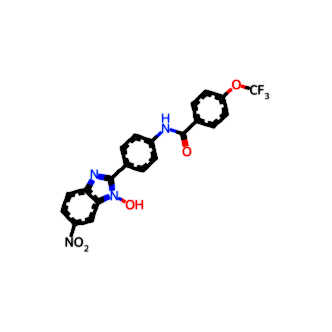 O=C(Nc1ccc(-c2nc3ccc([N+](=O)[O-])cc3n2O)cc1)c1ccc(OC(F)(F)F)cc1